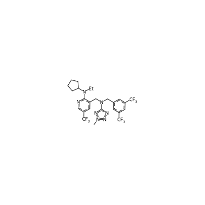 CCN(c1ncc(C(F)(F)F)cc1CN(Cc1cc(C(F)(F)F)cc(C(F)(F)F)c1)c1nnn(C)n1)C1CCCC1